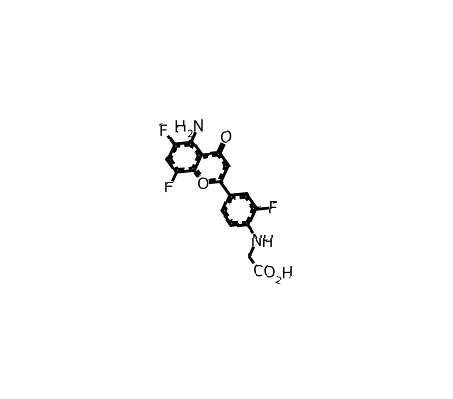 Nc1c(F)cc(F)c2oc(-c3ccc(NCC(=O)O)c(F)c3)cc(=O)c12